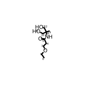 CCOCCC(=O)NC(C)(CO)CO